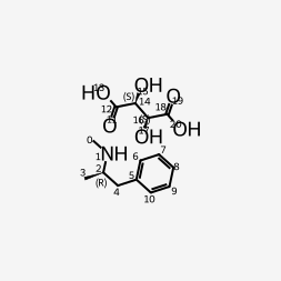 CN[C@H](C)Cc1ccccc1.O=C(O)[C@@H](O)[C@H](O)C(=O)O